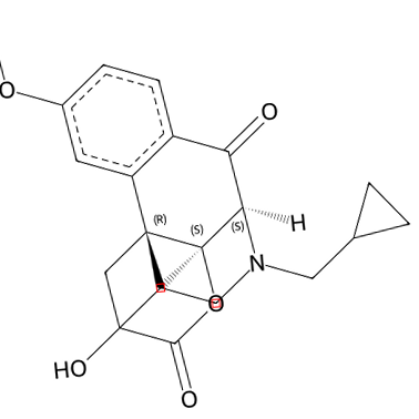 COc1ccc2c(c1)[C@]13CCN(CC4CC4)[C@H](C2=O)[C@]12CCC(O)(C3)C(=O)O2